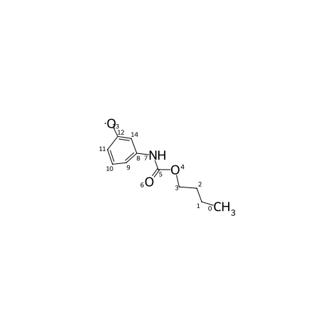 CCCCOC(=O)Nc1cccc([O])c1